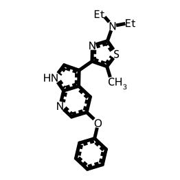 CCN(CC)c1nc(-c2c[nH]c3ncc(Oc4ccccc4)cc23)c(C)s1